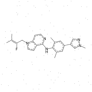 CC(C)=C(F)Cn1ccc2c(Nc3c(C)cc(-c4cnn(C)c4)cc3C)nccc21